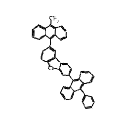 FC(F)(F)c1c2ccccc2c(-c2ccc3oc4cc(-c5c6ccccc6c(-c6ccccc6)c6ccccc56)ccc4c3c2)c2ccccc12